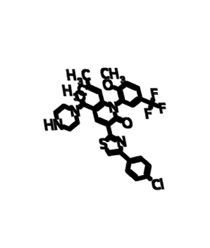 COc1ccc(C(F)(F)F)cc1-n1c(C=C(C)C)c(C(=O)N2CCNCC2)cc(-c2nc(-c3ccc(Cl)cc3)cs2)c1=O